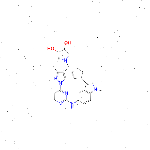 Cc1nn(-c2ccnc(Nc3ccc4c(c3)c(C3CCCC3)cn4C)n2)cc1CN1CC(O)C(O)C1